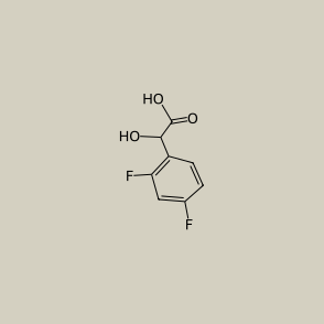 O=C(O)C(O)c1ccc(F)cc1F